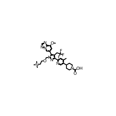 COc1cc(-c2c(CC(F)(F)F)c(-c3cc(C)c(C4CCN(C(=O)O)CC4)cn3)nn2COCC[Si](C)(C)C)cn2ncnc12